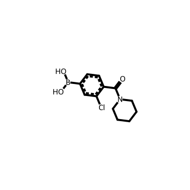 O=C(c1ccc(B(O)O)cc1Cl)N1CCCCC1